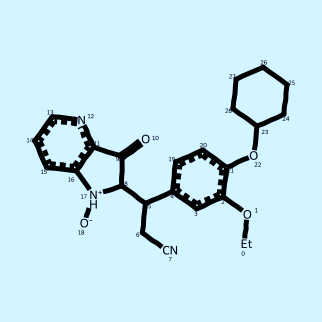 CCOc1cc(C(CC#N)C2C(=O)c3ncccc3[NH+]2[O-])ccc1OC1CCCCC1